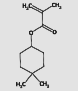 C=C(C)C(=O)OC1CCC(C)(C)CC1